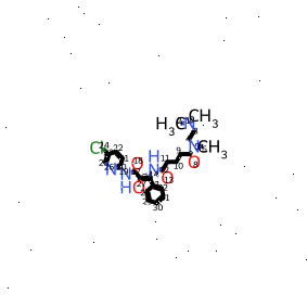 CN(C)CCN(C)C(=O)CCCC(=O)Nc1c(C(=O)Nc2ccc(Cl)cn2)oc2ccccc12